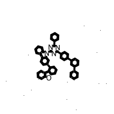 c1ccc(-c2cccc(-c3ccc(-c4nc(-c5ccccc5)nc(-n5c6ccccc6c6ccc(-c7cccc8oc9ccccc9c78)cc65)n4)cc3)c2)cc1